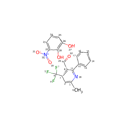 Cc1cc(C(F)(F)F)c(C=O)c(-c2ccccc2)n1.O=[N+]([O-])c1cccc(O)c1O